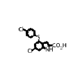 O=C(O)c1cc2c(Sc3ccc(Cl)cc3)cc(Cl)cc2[nH]1